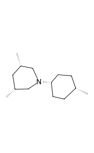 C[C@@H]1C[C@H](C)CN([C@H]2CC[C@@H](C)CC2)C1